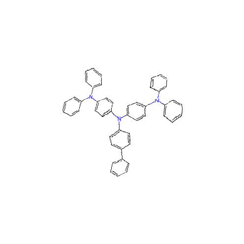 c1ccc(-c2ccc(N(c3ccc(N(c4ccccc4)c4ccccc4)cc3)c3ccc(N(c4ccccc4)c4ccccc4)cc3)cc2)cc1